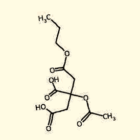 CCCOC(=O)CC(CC(=O)O)(OC(C)=O)C(=O)O